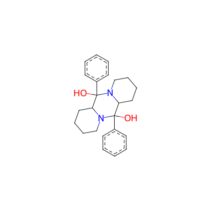 OC1(c2ccccc2)C2CCCCN2C(O)(c2ccccc2)C2CCCCN21